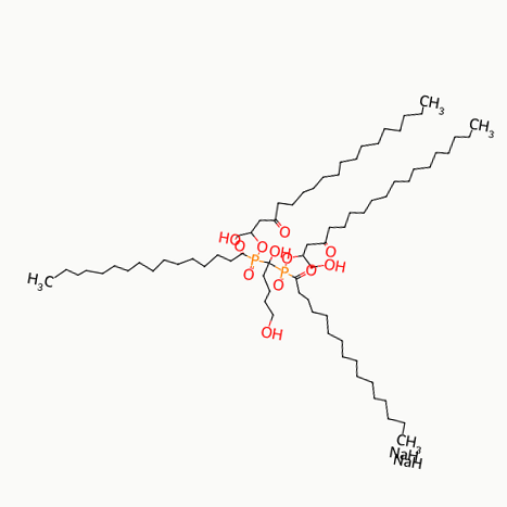 CCCCCCCCCCCCCCCC(=O)CC(CO)OP(=O)(C(=O)CCCCCCCCCCCCCCC)C(O)(CCCCO)P(=O)(OC(CO)CC(=O)CCCCCCCCCCCCCCC)C(=O)CCCCCCCCCCCCCCC.[NaH].[NaH]